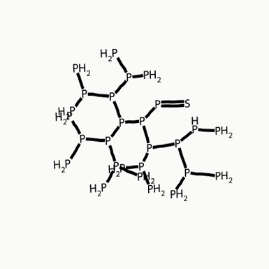 PPP(P(P)P)P(P(P)P)P(P=S)P(P(P(P)P)P(P)P)P(P(P)P)P(P)P